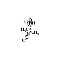 C[C@@H]1CN(c2ccc(Cl)cc2)C[C@H](C)N1CCCc1nc2c(c(=O)[nH]1)CCCC2